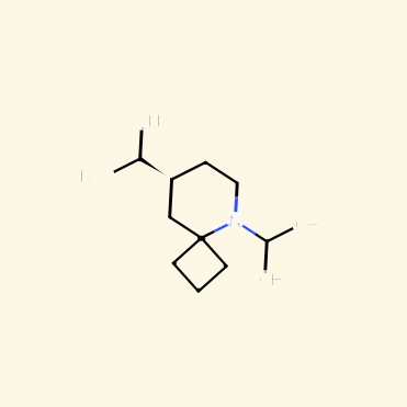 CC(C)[C@H]1CCN(C(C)C)C2(CCC2)C1